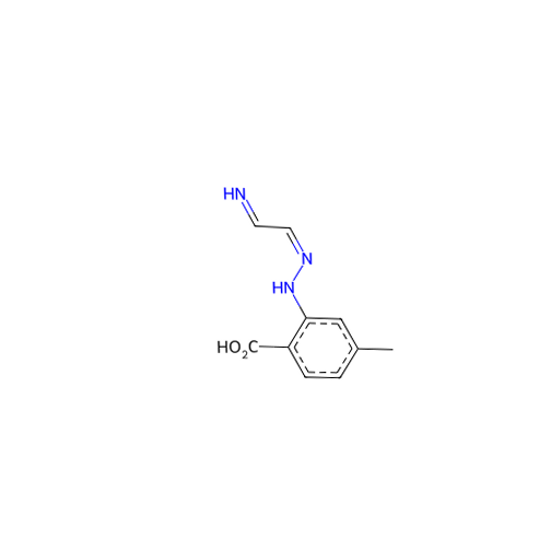 Cc1ccc(C(=O)O)c(N/N=C\C=N)c1